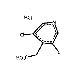 Cl.O=C(O)Cc1c(Cl)cncc1Cl